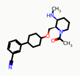 CN[C@H]1CCCN(C(C)=O)[C@H]1COC1CCC(c2cccc(C#N)c2)CC1